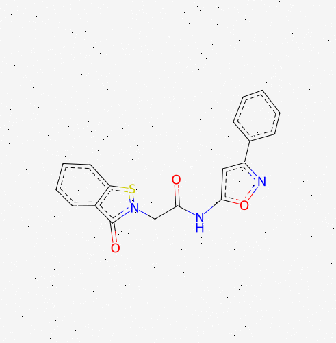 O=C(Cn1sc2ccccc2c1=O)Nc1cc(-c2ccccc2)no1